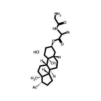 CC(=O)[C@H]1CC[C@H]2[C@@H]3CC[C@H]4C[C@H](OC(=O)C(NC(=O)CN)C(C)C)CC[C@]4(C)[C@H]3CC[C@]12C.Cl